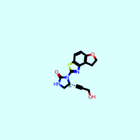 O=C1NC[C@@H](C#CCO)N1c1nc2c3c(ccc2s1)OCC3